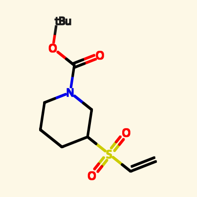 C=CS(=O)(=O)C1CCCN(C(=O)OC(C)(C)C)C1